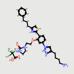 NCCCCc1cn(-c2ccc(-c3nc(CCCc4ccccc4)cs3)c(OCCN3CCNC3=O)c2)nn1.O=C(O)C(F)(F)F